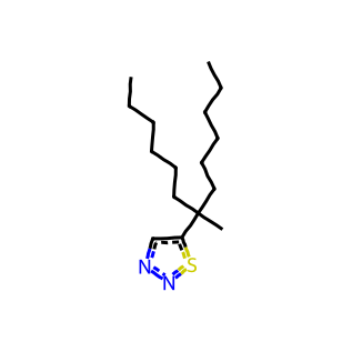 CCCCCCC(C)(CCCCCC)c1cnns1